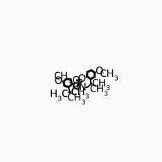 COc1ccc(OP2(=O)NCC(C)(C)c3cc(OC)ccc3O2)c(C(C)(C)C)c1